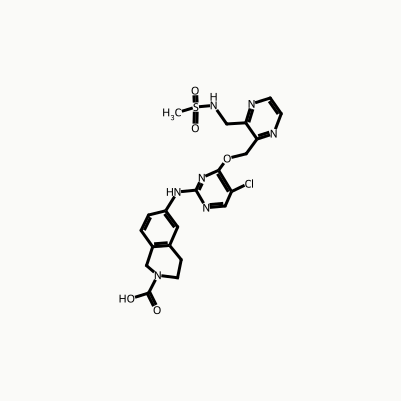 CS(=O)(=O)NCc1nccnc1COc1nc(Nc2ccc3c(c2)CCN(C(=O)O)C3)ncc1Cl